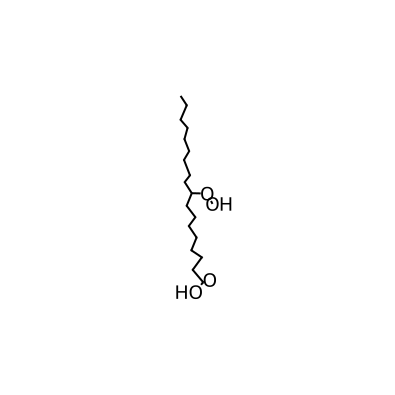 CCCCCCCCCC(CCCCCCCC(=O)O)OO